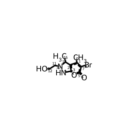 Cc1c2c(oc(=O)c1Br)NN(CCO)C2C